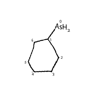 [AsH2]C1CC[CH]CC1